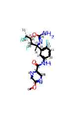 COc1cnc(C(=O)Nc2ccc(F)c([C@@]3(C)N=C(N)O[C@H]([C@@H](C)F)[C@@H]3F)c2)cn1